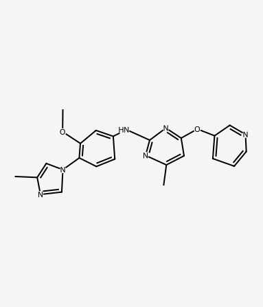 COc1cc(Nc2nc(C)cc(Oc3cccnc3)n2)ccc1-n1cnc(C)c1